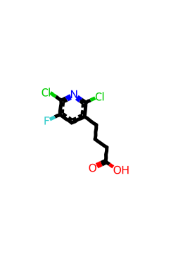 O=C(O)CCCc1cc(F)c(Cl)nc1Cl